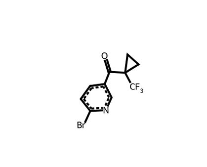 O=C(c1ccc(Br)nc1)C1(C(F)(F)F)CC1